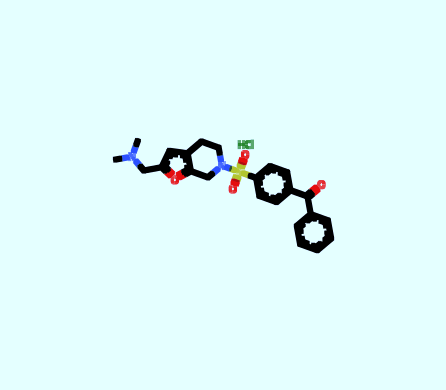 CN(C)Cc1cc2c(o1)CN(S(=O)(=O)c1ccc(C(=O)c3ccccc3)cc1)CC2.Cl